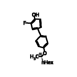 CCCCCC[C@H](C)Oc1ccc(-c2ccc(O)c(F)c2)cc1